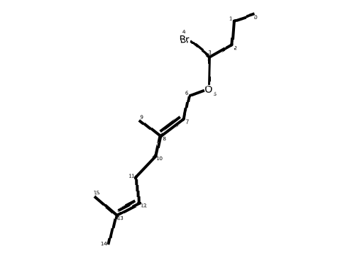 CCCC(Br)OC/C=C(\C)CCC=C(C)C